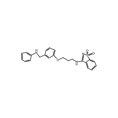 O=S1(=O)N=C(NCCCOc2cccc(CNc3ccccc3)c2)c2ccccc21